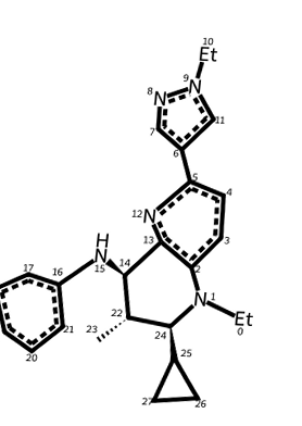 CCN1c2ccc(-c3cnn(CC)c3)nc2[C@H](Nc2ccccc2)[C@@H](C)[C@@H]1C1CC1